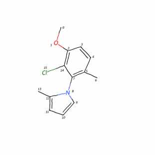 COc1ccc(C)c(-n2cccc2C)c1Cl